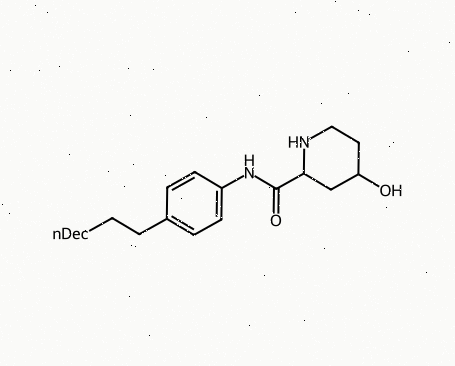 CCCCCCCCCCCCc1ccc(NC(=O)C2CC(O)CCN2)cc1